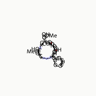 CO[C@@H]1C[C@H](C[C@@H](C)[C@@H]2CC(=O)[C@H](C)/C=C(\C)[C@@H](O)[C@@H](OC)C(=O)[C@H](C)C[C@H](C)/C=C/C=C/C=C(\C)[C@H](OCC3COCCOCCOCCOCCO3)C[C@@H]3CC[C@@H](C)[C@@](O)(O3)C(=O)C(=O)N3CCCC[C@H]3C(=O)O2)CC[C@H]1O